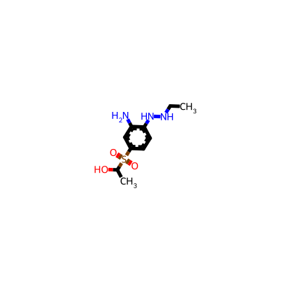 CCNNc1ccc(S(=O)(=O)C(C)O)cc1N